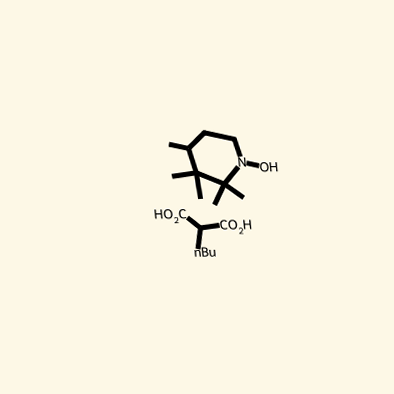 CC1CCN(O)C(C)(C)C1(C)C.CCCCC(C(=O)O)C(=O)O